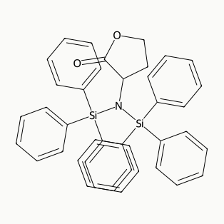 O=C1OCCC1N([Si](c1ccccc1)(c1ccccc1)c1ccccc1)[Si](c1ccccc1)(c1ccccc1)c1ccccc1